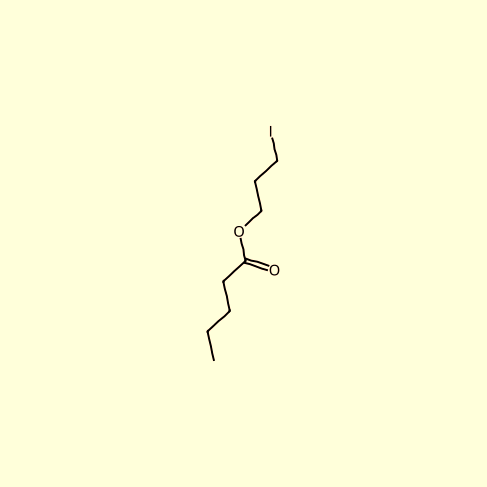 CCCCC(=O)OCCCI